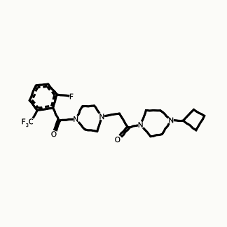 O=C(CN1CCN(C(=O)c2c(F)cccc2C(F)(F)F)CC1)N1CCN(C2CCC2)CC1